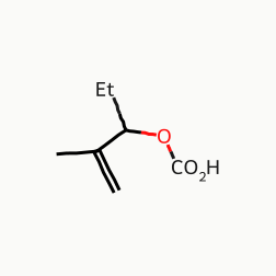 C=C(C)C(CC)OC(=O)O